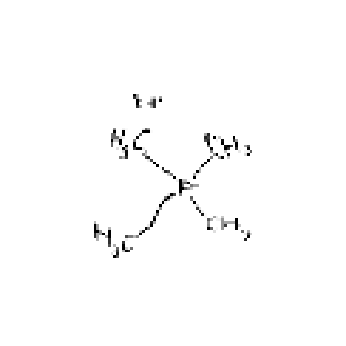 C[P+](C)(C)C.[H+]